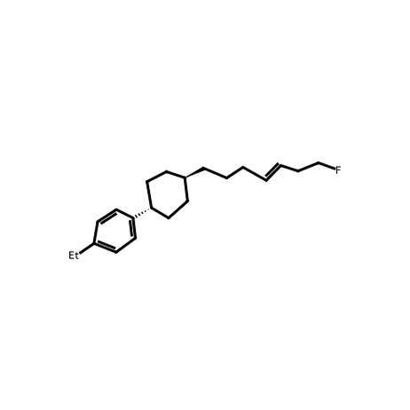 CCc1ccc([C@H]2CC[C@H](CCCC=CCCF)CC2)cc1